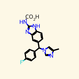 Cc1cn(C(c2ccc(F)cc2)c2ccc3[nH]c(NC(=O)O)nc3c2)cn1